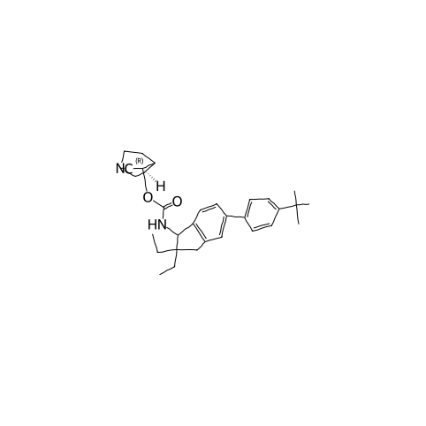 CCC1(CC)Cc2cc(-c3ccc(C(C)(C)C)cc3)ccc2C1NC(=O)O[C@H]1CN2CCC1CC2